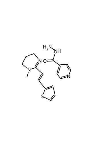 CN1CCCN=C1/C=C/c1cccs1.NNC(=O)c1ccncc1